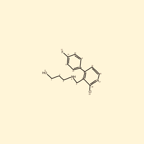 OCCCNCc1c(-c2ccc(F)cc2)ccnc1Cl